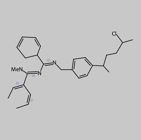 C\C=C/C(=C\C)C(=N/C(=N\Cc1ccc(C(C)CCC(C)Cl)cc1)C1C=CC=CC1)/NC